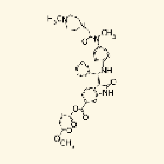 COC(=O)/C=C\C(=O)OC(=O)c1ccc2c(c1)NC(=O)/C2=C(\Nc1ccc(N(C)C(=O)CN2CCN(C)CC2)cc1)c1ccccc1